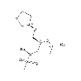 C[C@H](O[C@H](CO[C@@H]1CCOC1)CN(C(C)(C)C)S(C)(=O)=O)C(C)(C)C